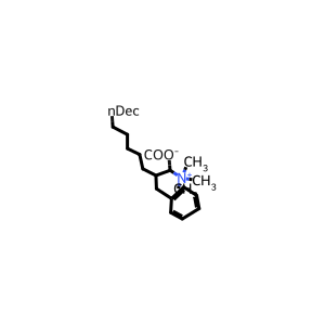 CCCCCCCCCCCCCCCC(Cc1ccccc1)C(C(=O)[O-])[N+](C)(C)C